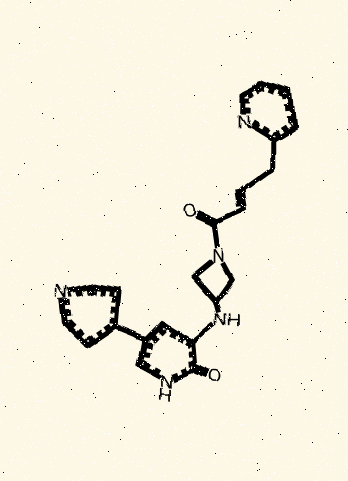 O=C(C=CCc1ccccn1)N1CC(Nc2cc(-c3ccncc3)c[nH]c2=O)C1